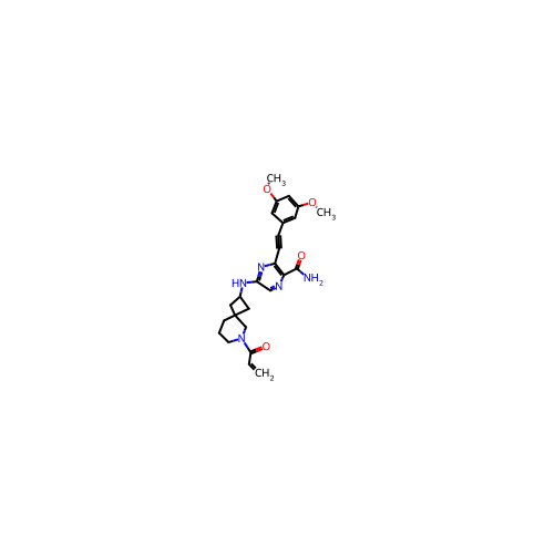 C=CC(=O)N1CCCC2(CC(Nc3cnc(C(N)=O)c(C#Cc4cc(OC)cc(OC)c4)n3)C2)C1